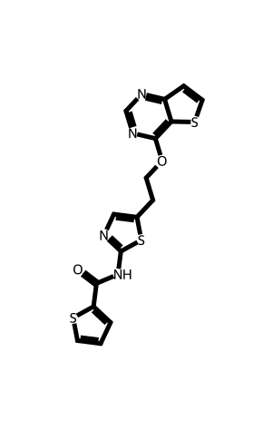 O=C(Nc1ncc(CCOc2ncnc3ccsc23)s1)c1cccs1